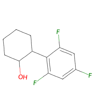 OC1CCCCC1c1c(F)cc(F)cc1F